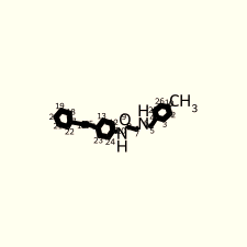 Cc1ccc(CNCC(=O)Nc2ccc(C#Cc3ccccc3)cc2)cc1